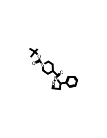 CC(C)(C)OC(=O)N1CCC(C(=O)N2N=CCC2c2ccccc2)CC1